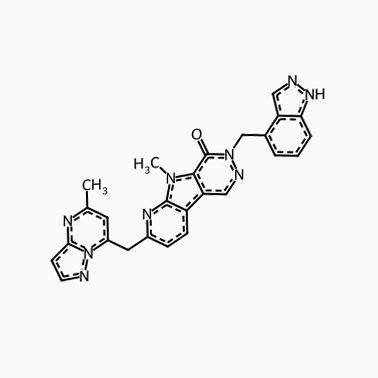 Cc1cc(Cc2ccc3c4cnn(Cc5cccc6[nH]ncc56)c(=O)c4n(C)c3n2)n2nccc2n1